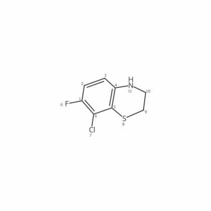 Fc1ccc2c(c1Cl)SCCN2